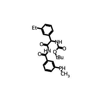 CCc1cccc(C(NC(=O)OC(C)(C)C)C(=O)NC(=O)c2cccc(PC)c2)c1